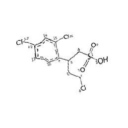 O=S(=O)(O)CC(CCCl)c1ccc(Cl)cc1Cl